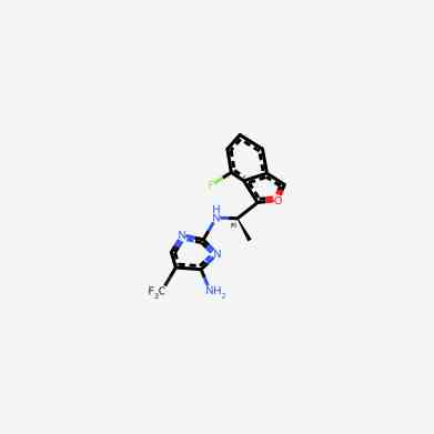 C[C@@H](Nc1ncc(C(F)(F)F)c(N)n1)c1occ2cccc(F)c12